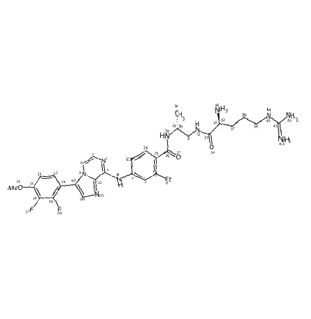 CCc1cc(Nc2nccn3c(-c4ccc(OC)c(F)c4F)cnc23)ccc1C(=O)N[C@H](C)CNC(=O)[C@@H](N)CCCNC(=N)N